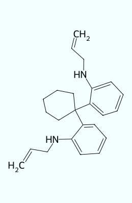 C=CCNc1ccccc1C1(c2ccccc2NCC=C)CCCCC1